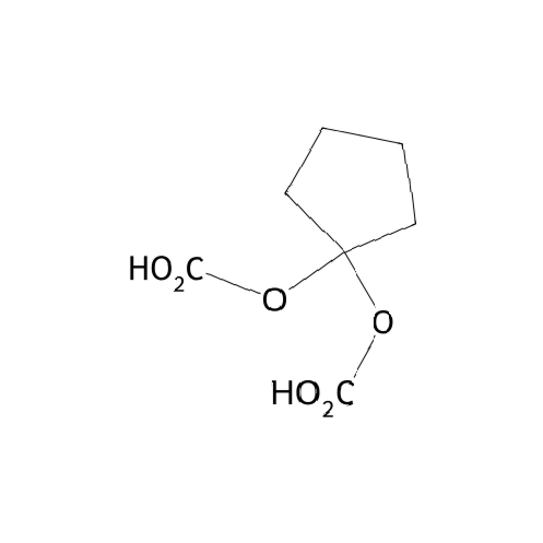 O=C(O)OC1(OC(=O)O)CCCC1